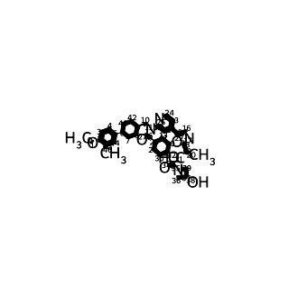 COc1ccc([C@H]2CC[C@H](CN(c3cc(-c4cnc(C(C)C)o4)ccn3)C(=O)[C@H]3CC[C@H](OC(=O)N4CC(O)C4)CC3)CC2)cc1C